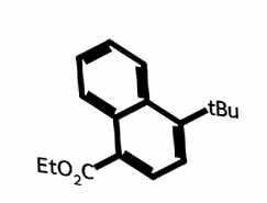 CCOC(=O)c1ccc(C(C)(C)C)c2ccccc12